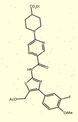 CCOC(=O)C1CCN(c2cnc(C(=O)Nc3nc(-c4ccc(OC)c(F)c4)c(COC(C)=O)s3)cn2)CC1